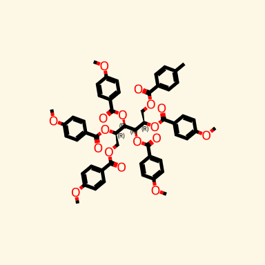 COc1ccc(C(=O)OC[C@@H](OC(=O)c2ccc(OC)cc2)[C@@H](OC(=O)c2ccc(OC)cc2)[C@H](OC(=O)c2ccc(OC)cc2)[C@@H](COC(=O)c2ccc(C)cc2)OC(=O)c2ccc(OC)cc2)cc1